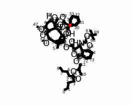 CCCCC1(CCCC)OCC(COC(=O)O[C@@H](C(=O)O[C@H]2C[C@@]3(O)[C@@H](OC(=O)c4ccccc4)[C@@H]4[C@]5(OC(C)=O)CO[C@@H]5C[C@H](OC)[C@@]4(C)C(=O)[C@H](OC)C(=C2C)C3(C)C)[C@@H](NC(=O)OC(C)(C)C)c2ccccc2)O1